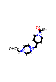 CCC(=O)N1CCC(CN2CCN(CC=O)CC2)CC1